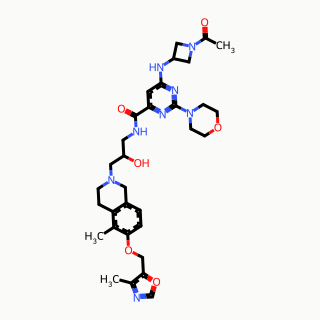 CC(=O)N1CC(Nc2cc(C(=O)NCC(O)CN3CCc4c(ccc(OCc5ocnc5C)c4C)C3)nc(N3CCOCC3)n2)C1